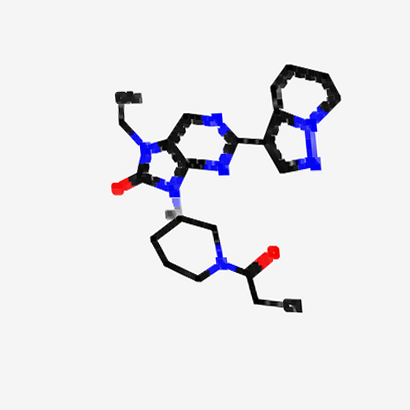 CC(=O)OCn1c(=O)n([C@H]2CCCN(C(=O)CC#N)C2)c2nc(-c3cnn4ccccc34)ncc21